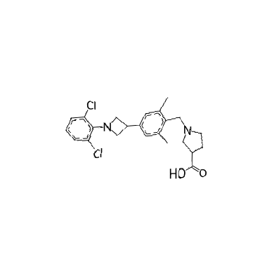 Cc1cc(C2CN(c3c(Cl)cccc3Cl)C2)cc(C)c1CN1CCC(C(=O)O)C1